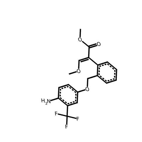 CO/C=C(/C(=O)OC)c1ccccc1COc1ccc(N)c(C(F)(F)F)c1